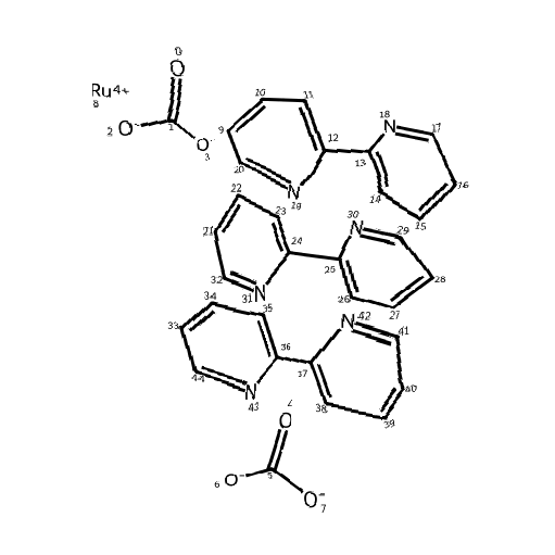 O=C([O-])[O-].O=C([O-])[O-].[Ru+4].c1ccc(-c2ccccn2)nc1.c1ccc(-c2ccccn2)nc1.c1ccc(-c2ccccn2)nc1